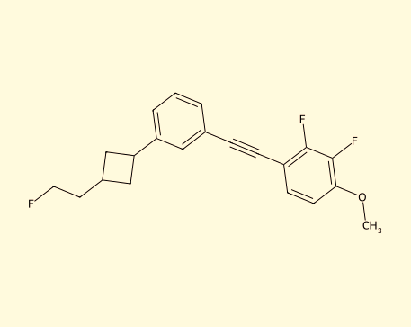 COc1ccc(C#Cc2cccc(C3CC(CCF)C3)c2)c(F)c1F